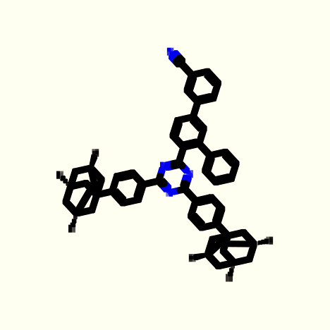 N#Cc1cccc(-c2ccc(-c3nc(-c4ccc(C56C[C@H]7C[C@H](C5)C[C@@H](C6)C7)cc4)nc(-c4ccc(C56C[C@H]7C[C@H](C5)C[C@@H](C6)C7)cc4)n3)c(-c3ccccc3)c2)c1